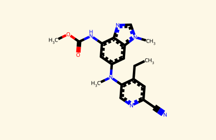 CCc1cc(C#N)ncc1N(C)c1cc(NC(=O)OC)c2ncn(C)c2c1